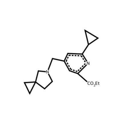 CCOC(=O)c1cc(CN2CCC3(CC3)C2)cc(C2CC2)n1